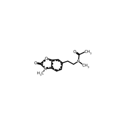 CC(=O)N(C)CCc1ccc2c(c1)oc(=O)n2C